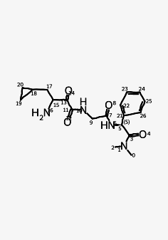 CN(C)C(=O)[C@@H](NC(=O)CNC(=O)C(=O)C(N)CC1CC1)c1ccccc1